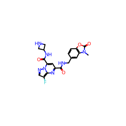 Cn1c(=O)oc2ccc(CNC(=O)c3cc(C(=O)NC4CNC4)n4ncc(F)c4n3)cc21